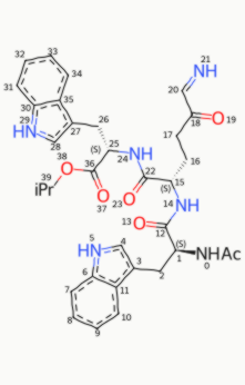 CC(=O)N[C@@H](Cc1c[nH]c2ccccc12)C(=O)N[C@@H](CCC(=O)C=N)C(=O)N[C@@H](Cc1c[nH]c2ccccc12)C(=O)OC(C)C